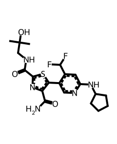 CC(C)(O)CNC(=O)c1nc(C(N)=O)c(-c2cnc(NC3CCCC3)cc2C(F)F)s1